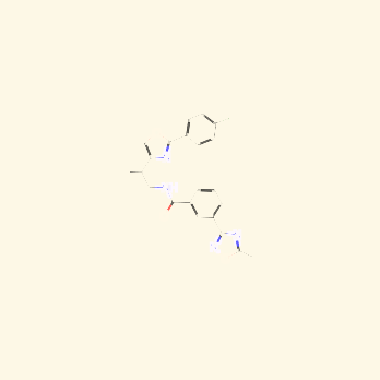 Cc1nc(-c2cccc(C(=O)NCC(C)c3coc(-c4ccc(F)cc4)n3)c2)no1